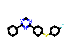 Fc1ccc(Sc2ccc(-c3ncnc(-c4ccccc4)n3)cc2)cc1